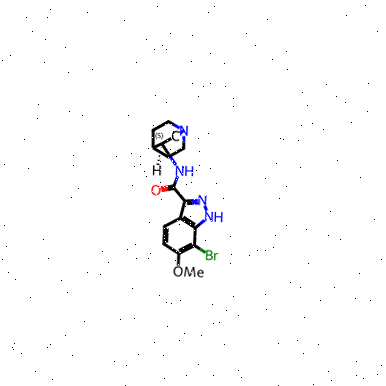 COc1ccc2c(C(=O)N[C@@H]3CN4CCC3CC4)n[nH]c2c1Br